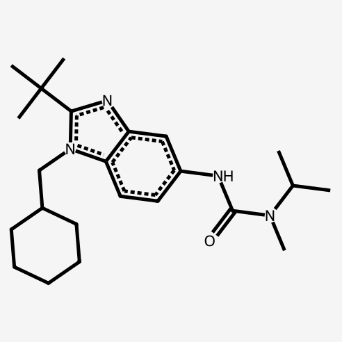 CC(C)N(C)C(=O)Nc1ccc2c(c1)nc(C(C)(C)C)n2CC1CCCCC1